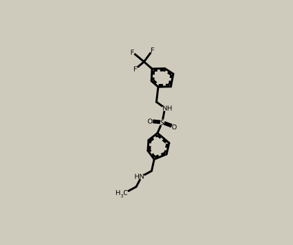 CCNCc1ccc(S(=O)(=O)NCc2cccc(C(F)(F)F)c2)cc1